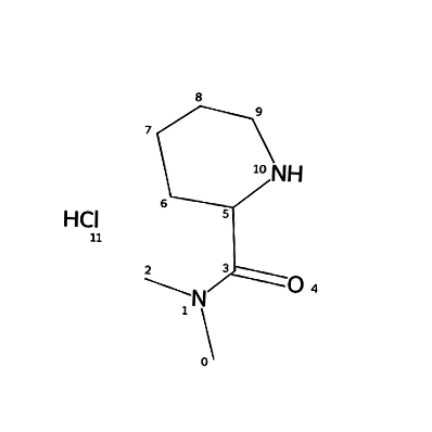 CN(C)C(=O)C1CCCCN1.Cl